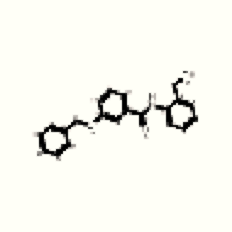 O=C(Nc1ccccc1CO)c1cccc(OCc2ccccc2)c1